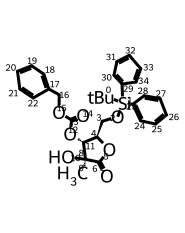 CC(C)(C)[Si](OC[C@H]1OC(=O)[C@@](C)(O)[C@@H]1OC(=O)OCc1ccccc1)(c1ccccc1)c1ccccc1